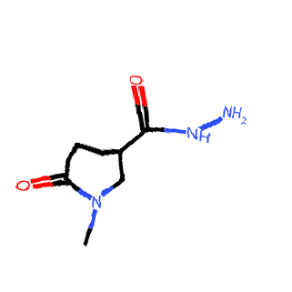 CN1CC(C(=O)NN)CC1=O